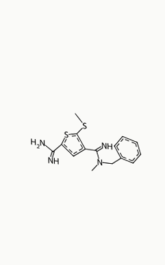 CSc1sc(C(=N)N)cc1C(=N)N(C)Cc1ccccc1